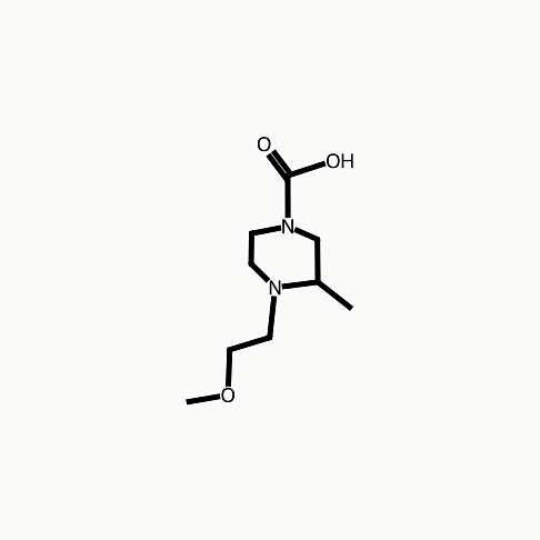 COCCN1CCN(C(=O)O)CC1C